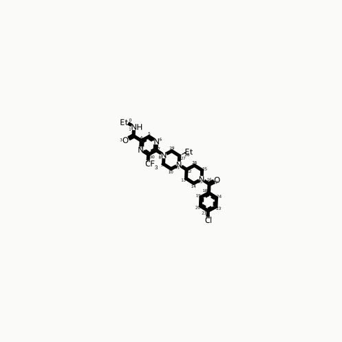 CCNC(=O)c1cnc(N2CCN(C3CCN(C(=O)c4ccc(Cl)cc4)CC3)[C@@H](CC)C2)c(C(F)(F)F)n1